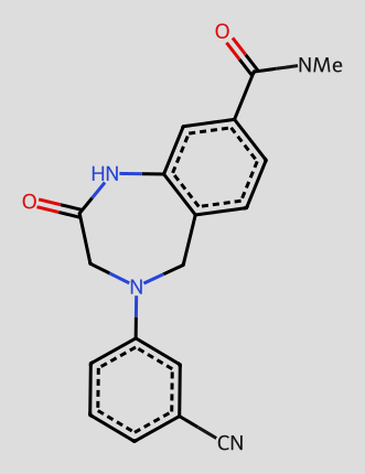 CNC(=O)c1ccc2c(c1)NC(=O)CN(c1cccc(C#N)c1)C2